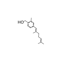 CC(C)=CCC/C(C)=C/c1ccc(CO)c(C)c1